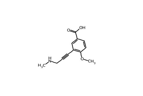 CNCC#Cc1cc(C(=O)O)ccc1OC